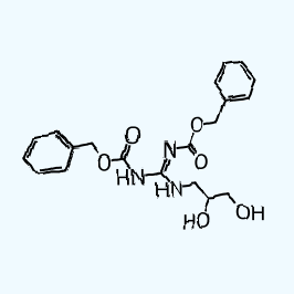 O=C(N=C(NCC(O)CO)NC(=O)OCc1ccccc1)OCc1ccccc1